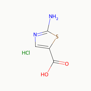 Cl.Nc1ncc(C(=O)O)s1